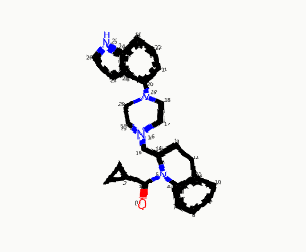 O=C(C1CC1)N1c2ccccc2CCC1CN1CCN(c2cccc3[nH]ccc23)CC1